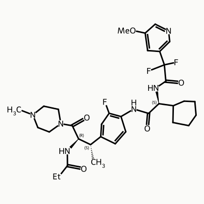 CCC(=O)N[C@@H](C(=O)N1CCN(C)CC1)[C@@H](C)c1ccc(NC(=O)[C@@H](NC(=O)C(F)(F)c2cncc(OC)c2)C2CCCCC2)c(F)c1